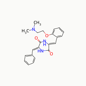 CN(C)CCOc1ccccc1C=c1[nH]c(=O)c(=Cc2ccccc2)[nH]c1=O